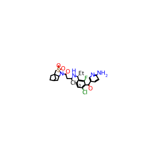 CC[C@@H](NC(C)CC(=O)N1C2CC3CCC2(C3)CS1(=O)=O)c1ccc(Cl)c(C(=O)c2ccc(N)nc2)c1F